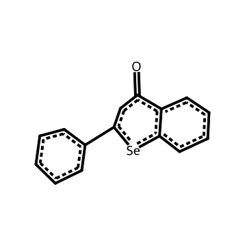 O=c1cc(-c2ccccc2)[se]c2ccccc12